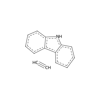 C#C.c1ccc2c(c1)[nH]c1ccccc12